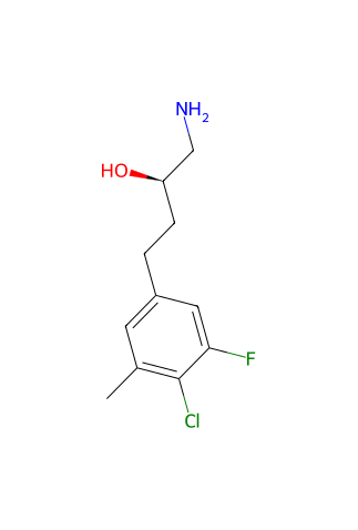 Cc1cc(CC[C@@H](O)CN)cc(F)c1Cl